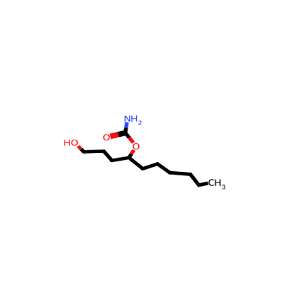 CCCCCCC(CCCO)OC(N)=O